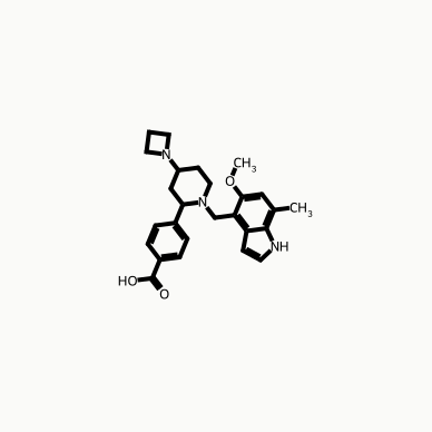 COc1cc(C)c2[nH]ccc2c1CN1CCC(N2CCC2)CC1c1ccc(C(=O)O)cc1